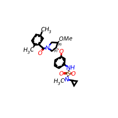 CO[C@@H]1CN(C(=O)c2cc(C)ccc2C)C[C@H]1Oc1cccc(NS(=O)(=O)N(C)C2CC2)c1